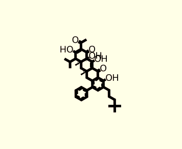 CC(=O)C1=C(O)C(C(C)C)[C@@]2(C)C[C@@]3(C)Cc4c(-c5ccccc5)cc(CCCC(C)(C)C)c(O)c4C(=O)C3=C(O)[C@@]2(O)C1=O